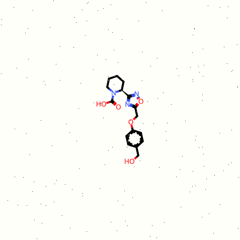 O=C(O)N1CCCC[C@H]1c1noc(COc2ccc(CO)cc2)n1